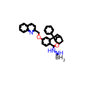 BNNC(=O)c1ccc(OCc2ccc3ccccc3n2)cc1C1(c2ccccc2)CC2CCC1C2